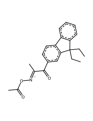 CCC1(CC)c2ccccc2-c2ccc(C(=O)/C(C)=N/OC(C)=O)cc21